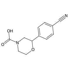 N#Cc1ccc(C2CN(C(=O)O)CCO2)cc1